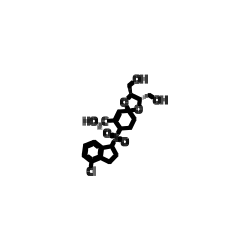 O=C(O)C1=CC2(CCC1S(=O)(=O)C1CCc3c(Cl)cccc31)O[C@@H](CO)[C@H](CO)O2